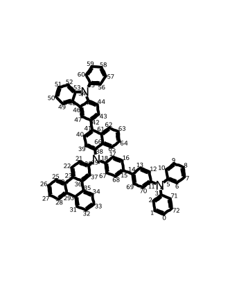 c1ccc(N(c2ccccc2)c2ccc(-c3ccc(N(c4ccc5c6ccccc6c6ccccc6c5c4)c4ccc(-c5ccc6c(c5)c5ccccc5n6-c5ccccc5)c5ccccc45)cc3)cc2)cc1